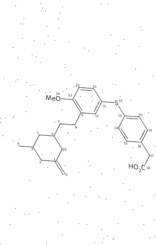 C=C1CC(C)CC(CCc2cc(Sc3ccc(CC(=O)O)cc3)ccc2OC)C1